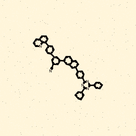 N#Cc1cc(-c2ccc(-c3cccc4cccnc34)cc2)cc(-c2ccc3ccc(-c4ccc(-c5nc(-c6ccccc6)nc(-c6ccccc6)n5)cc4)cc3c2)c1